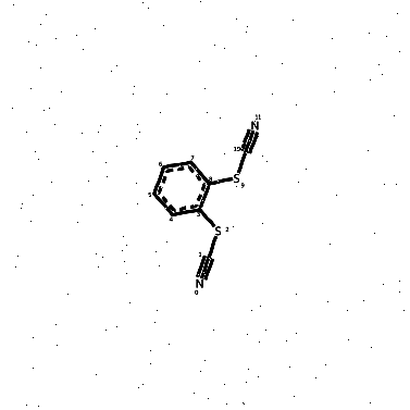 N#CSc1ccccc1SC#N